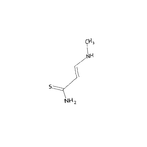 CNC=CC(N)=S